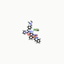 CCN(CC)Cc1ccc(CC(NC(=O)CC(NS(=O)(=O)c2ccc3ccccc3n2)c2ccccc2)C(=O)N2CCCC2)cc1.Cl.Cl